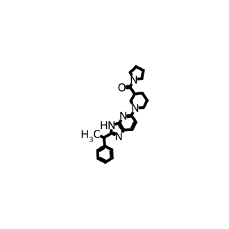 CC(c1ccccc1)c1nc2ccc(N3CCCC(C(=O)N4CCCC4)C3)nc2[nH]1